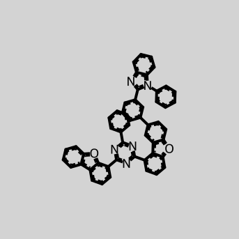 c1ccc(-c2nc(-c3cccc4c3oc3ccccc34)nc(-c3cccc4oc5ccc(-c6cccc(-c7nc8ccccc8n7-c7ccccc7)c6)cc5c34)n2)cc1